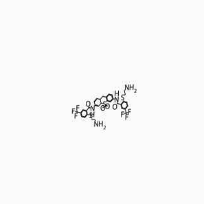 NCCSc1ccc(C(F)(F)F)cc1C(=O)NC1=CC2C(C=C1)Cc1ccc(NC(=O)c3cc(C(F)(F)F)ccc3SCCN)cc1S2(=O)=O